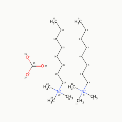 CCCCCCCC[N+](C)(C)C.CCCCCCCC[N+](C)(C)C.O=C([O-])[O-]